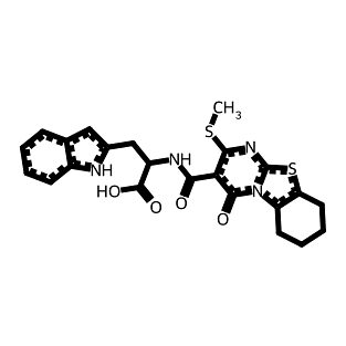 CSc1nc2sc3c(n2c(=O)c1C(=O)NC(Cc1cc2ccccc2[nH]1)C(=O)O)CCCC3